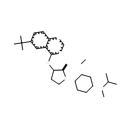 CO[C@@H]1C[C@H](N(C)C(C)C)CC[C@@H]1N1CCC(Nc2ncnc3ccc(C(F)(F)F)cc23)C1=O